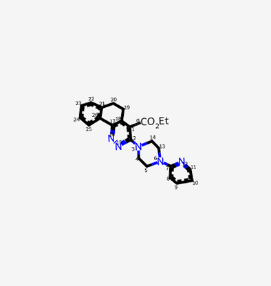 CCOC(=O)c1c(N2CCN(c3ccccn3)CC2)nnc2c1CCc1ccccc1-2